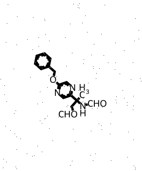 CC(CC=O)(NC=O)c1cnc(OCc2ccccc2)cn1